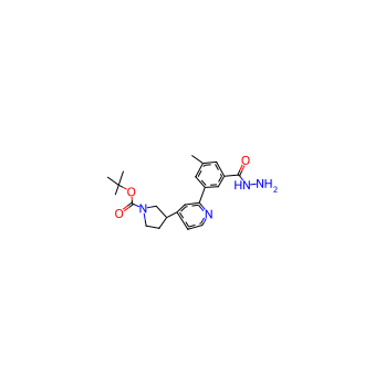 Cc1cc(C(=O)NN)cc(-c2cc(C3CCN(C(=O)OC(C)(C)C)C3)ccn2)c1